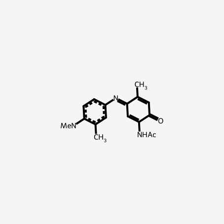 CNc1ccc(N=C2C=C(NC(C)=O)C(=O)C=C2C)cc1C